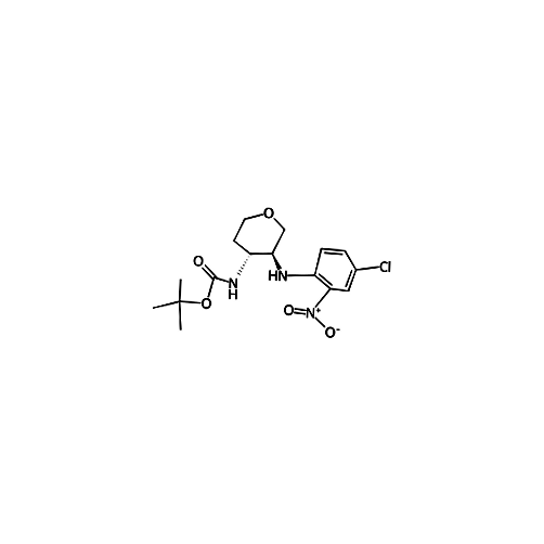 CC(C)(C)OC(=O)N[C@@H]1CCOC[C@H]1Nc1ccc(Cl)cc1[N+](=O)[O-]